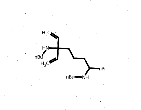 C=CC(C=C)(CCCC(CCC)NCCCC)NCCCC